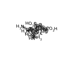 CC(NC(=O)C(CCC(=O)O)NC(=O)C(C)NC(=O)C(CCC(=O)O)NC(=O)C(C)NC(=O)C(CCC(=O)O)NC(=O)C(CCCNC(=N)N)NC(=O)C(N)CCCCN)C(=O)O